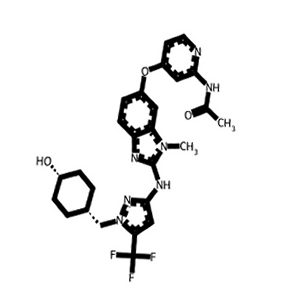 CC(=O)Nc1cc(Oc2ccc3nc(Nc4cc(C(F)(F)F)n(C[C@H]5CC[C@@H](O)CC5)n4)n(C)c3c2)ccn1